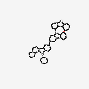 c1ccc(-n2c3ccc(-c4ccc5c(c4)c4ccccc4n5-c4cccc5oc6ccccc6c45)cc3c3ccc4ccccc4c32)cc1